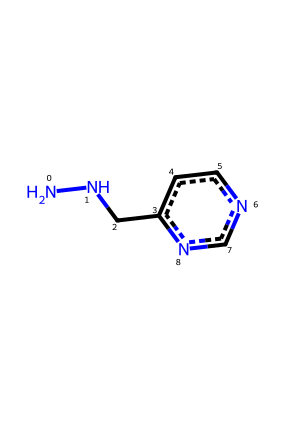 NNCc1ccncn1